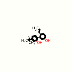 C=CC[C@H]1CC[C@@H](O)C[C@@H]1c1ccc(C(C)(C)CCCCCC)cc1O